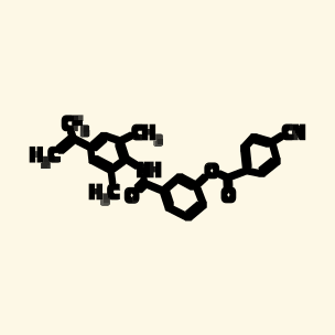 C=C(c1cc(C)c(NC(=O)c2cccc(OC(=O)c3ccc(C#N)cc3)c2)c(C)c1)C(F)(F)F